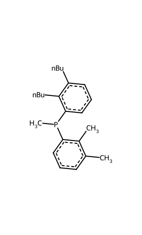 CCCCc1cccc(P(C)c2cccc(C)c2C)c1CCCC